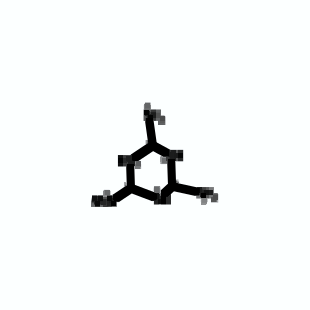 CNC1NC(N)NC(N)N1